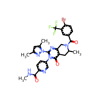 CNC(=O)c1ccc(-n2c(-n3nc(C)cc3C)nc3c(c2=O)CC(C)N(C(=O)c2ccc(Br)c(C(F)(F)F)c2)C3)cn1